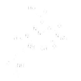 CCCN(C(=O)OCOC(=O)CO)C(=O)C1CN2N=CN=C(Nc3cc(C(=O)NC4CC4)ccc3C)C2=C1C